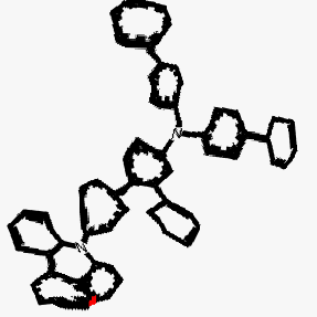 C1=CCCC(c2cc(N(c3ccc(-c4ccccc4)cc3)c3ccc(C4C=CC=CC4)cc3)ccc2-c2ccc(N(c3ccccc3)C3C=CC=CC3c3ccccc3)cc2)=C1